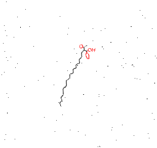 CCCCCCCCCCCCCCCCCCC(C(C)=O)C(=O)O